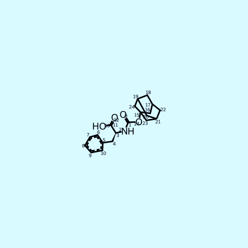 O=C(N[C@@H](Cc1ccccc1)C(=O)O)OC12CC3CC(CC(C3)C1)C2